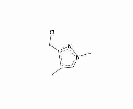 Cc1cn(C)nc1CCl